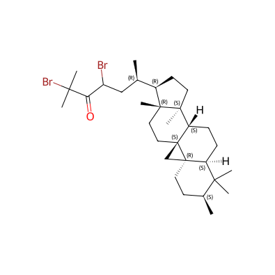 C[C@H](CC(Br)C(=O)C(C)(C)Br)[C@H]1CC[C@@]2(C)[C@@H]3CC[C@H]4C(C)(C)[C@@H](C)CC[C@@]45C[C@@]35CC[C@]12C